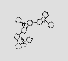 O=S1(c2ccccc2)=Nc2c(-c3ccc4c5cc(-c6ccc7c(c6)c6ccccc6n7-c6ccccc6)ccc5n(-c5ccccc5)c4c3)cccc2-c2ccccc21